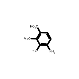 COc1c(C(=O)O)ccc(N)c1C(C)(C)C